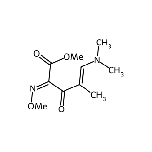 CON=C(C(=O)OC)C(=O)C(C)=CN(C)C